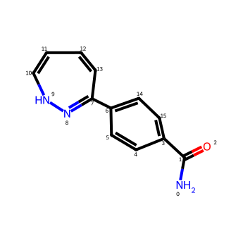 NC(=O)c1ccc(C2=NNC=CC=C2)cc1